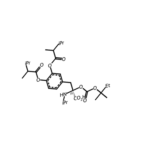 CCC(C)(C)OC(=O)O[C@](Cc1ccc(OC(=O)C(C)C(C)C)c(OC(=O)C(C)C(C)C)c1)(NC(C)C)C(=O)O